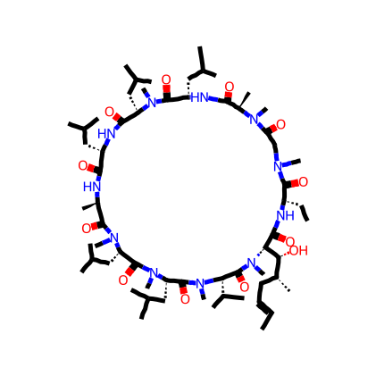 C/C=C/C[C@@H](C)[C@@H](O)[C@H]1C(=O)N[C@@H](CC)C(=O)N(C)CC(=O)N(C)[C@H](C)C(=O)N[C@@H](CC(C)C)C(=O)N(C)[C@@H](CC(C)C)C(=O)N[C@@H](CC(C)C)C(=O)N[C@H](C)C(=O)N(C)[C@@H](CC(C)C)C(=O)N(C)[C@@H](CC(C)C)C(=O)N(C)[C@@H](C(C)C)C(=O)N1C